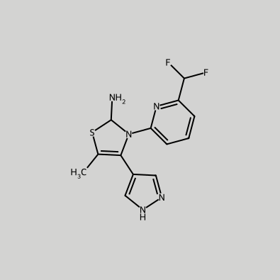 CC1=C(c2cn[nH]c2)N(c2cccc(C(F)F)n2)C(N)S1